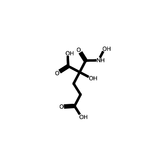 O=C(O)CCC(O)(C(=O)O)C(=O)NO